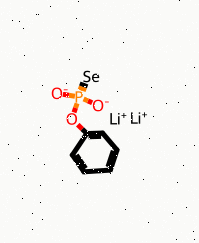 [Li+].[Li+].[O-]P([O-])(=[Se])Oc1ccccc1